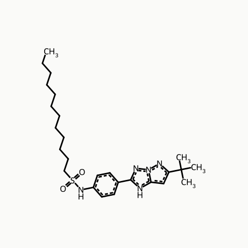 CCCCCCCCCCCCS(=O)(=O)Nc1ccc(-c2nn3nc(C(C)(C)C)cc3[nH]2)cc1